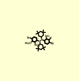 COc1c(Br)ccc(N(C2CC(C)(C)CC(C)(C)C2)N(c2ccc(Br)c(F)c2[N+](=O)[O-])C2CC(C)(C)CC(C)(C)C2)c1[N+](=O)[O-]